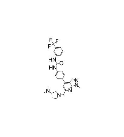 CN(C)C1CCN(Cc2cc(-c3ccc(NC(=O)Nc4cccc(C(F)(F)F)c4)cc3)c3cnn(C)c3n2)C1